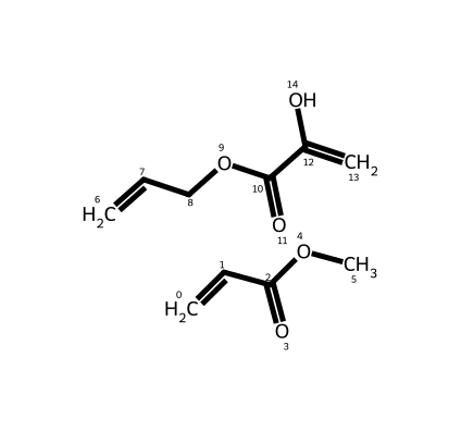 C=CC(=O)OC.C=CCOC(=O)C(=C)O